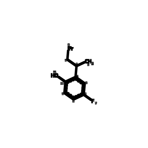 CC(C)CC(C)c1cc(F)ccc1O